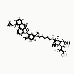 O=C(NCCCCC[S+]([O-])c1ccc(Cl)c(COC2(c3cnccc3-c3ccccc3OC3CC3)CC2)c1)N[C@@H](CO)[C@@H](O)[C@H](O)[C@H](O)CO